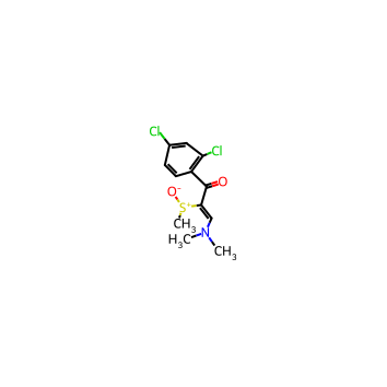 CN(C)C=C(C(=O)c1ccc(Cl)cc1Cl)[S+](C)[O-]